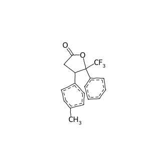 Cc1ccc(C2CC(=O)OC2(c2ccccc2)C(F)(F)F)cc1